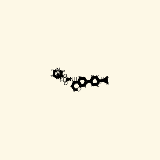 O=C(NC1CCOc2cc(-c3ccc(C4CC4)cc3)ccc21)O[C@@H]1CN2CCC1CC2